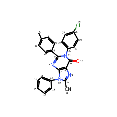 Cc1ccc(-c2nc3c(nc(C#N)n3-c3ccccc3)c(=O)n2-c2ccc(Cl)cc2)cc1